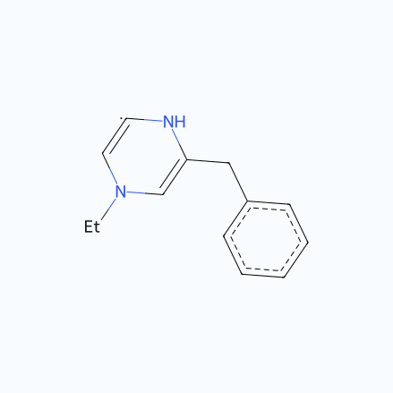 CCN1C=[C]NC(Cc2ccccc2)=C1